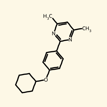 Cc1cc(C)nc(-c2ccc(OC3CCCCC3)cc2)n1